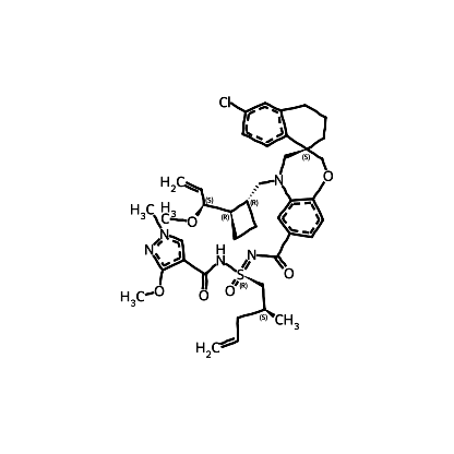 C=CC[C@H](C)C[S@](=O)(=NC(=O)c1ccc2c(c1)N(C[C@@H]1CC[C@H]1[C@H](C=C)OC)C[C@@]1(CCCc3cc(Cl)ccc31)CO2)NC(=O)c1cn(C)nc1OC